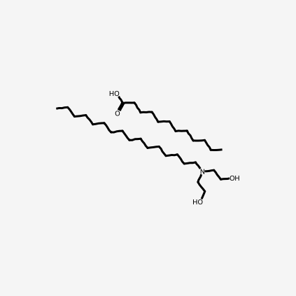 CCCCCCCCCCCC(=O)O.CCCCCCCCCCCCCCCCN(CCO)CCO